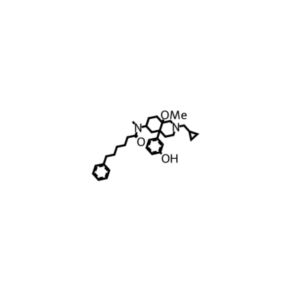 COC12CCC(N(C)C(=O)CCCCCc3ccccc3)CC1(c1cccc(O)c1)CCN(CC1CC1)C2